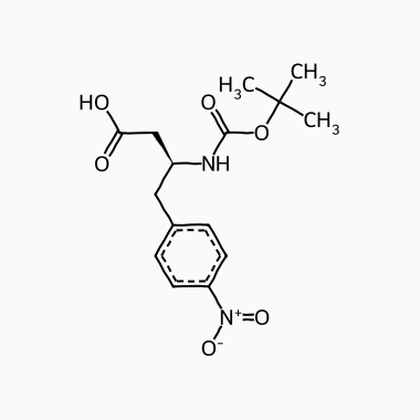 CC(C)(C)OC(=O)N[C@H](CC(=O)O)Cc1ccc([N+](=O)[O-])cc1